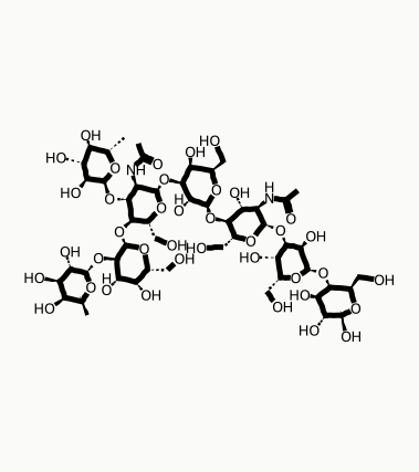 CC(=O)N[C@H]1[C@H](O[C@H]2[C@@H](O)[C@@H](CO)O[C@@H](O[C@H]3[C@H](O)[C@@H](O)[C@H](O)O[C@@H]3CO)[C@@H]2O)O[C@H](CO)[C@@H](O[C@@H]2O[C@H](CO)[C@H](O)[C@H](O[C@@H]3O[C@H](CO)[C@@H](O[C@@H]4O[C@H](CO)[C@H](O)[C@H](O)[C@H]4O[C@@H]4O[C@@H](C)[C@@H](O)[C@@H](O)[C@@H]4O)[C@H](O[C@@H]4O[C@@H](C)[C@@H](O)[C@@H](O)[C@@H]4O)[C@H]3NC(C)=O)[C@H]2O)[C@@H]1O